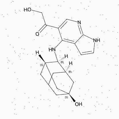 O=C(CO)c1cnc2[nH]ccc2c1N[C@H]1[C@@H]2CC3C[C@H]1C[C@@](O)(C3)C2